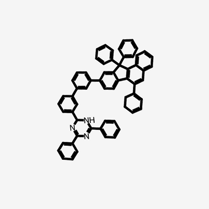 C1=CCCC(c2cc3ccccc3c3c2-c2ccc(-c4cccc(-c5cccc(C6N=C(c7ccccc7)N=C(c7ccccc7)N6)c5)c4)cc2C3(c2ccccc2)c2ccccc2)=C1